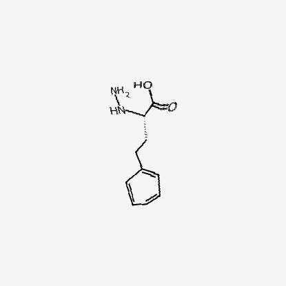 NN[C@@H](CCc1ccccc1)C(=O)O